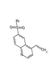 C=Cc1ccnc2ccc(S(=O)(=O)C(C)C)cc12